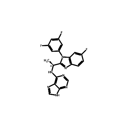 C[C@H](Nc1ncnc2[nH]cnc12)c1nc2ccc(F)cc2n1-c1cc(F)cc(F)c1